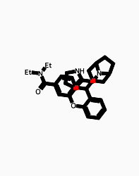 CCN(CC)C(=O)c1ccc2c(c1)Oc1ccccc1C2C1CC2CCC(C1)N2CC1=NCCN1